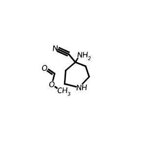 COC=O.N#CC1(N)CCNCC1